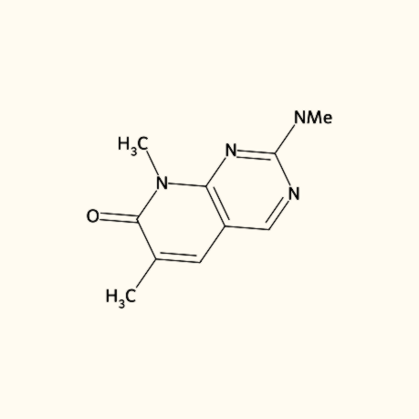 CNc1ncc2cc(C)c(=O)n(C)c2n1